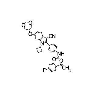 C[C@@H](OC(=O)Nc1ccc(-c2c(C#N)c3ccc(OC4COCOC4)cc3n2C2CCC2)cc1)c1ccc(F)cc1